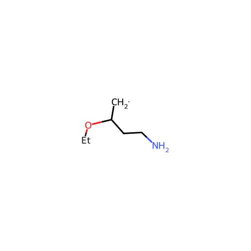 [CH2]C(CCN)OCC